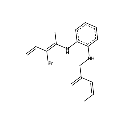 C=C/C(=C(\C)Nc1ccccc1NCC(=C)/C=C\C)C(C)C